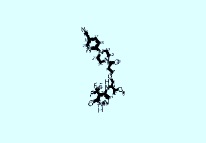 COC(C)C(COCCC(=O)N1CCN(c2ccc(C#N)cn2)CC1)Nc1cn[nH]c(=O)c1C(F)(F)F